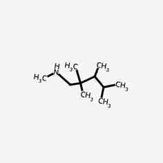 CNCC(C)(C)C(C)C(C)C